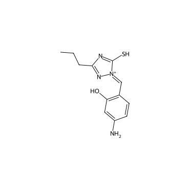 CCCC1=N[N+](=Cc2ccc(N)cc2O)C(S)=N1